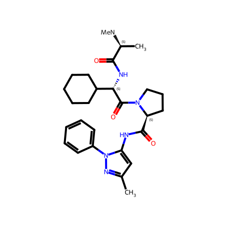 CN[C@@H](C)C(=O)N[C@H](C(=O)N1CCC[C@H]1C(=O)Nc1cc(C)nn1-c1ccccc1)C1CCCCC1